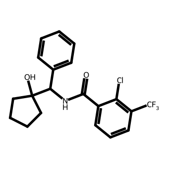 O=C(NC(c1ccccc1)C1(O)CCCC1)c1cccc(C(F)(F)F)c1Cl